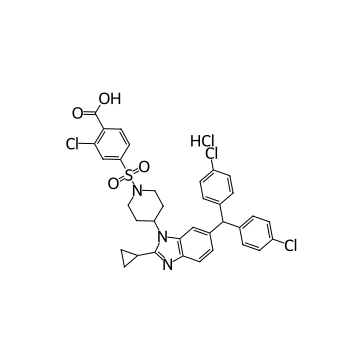 Cl.O=C(O)c1ccc(S(=O)(=O)N2CCC(n3c(C4CC4)nc4ccc(C(c5ccc(Cl)cc5)c5ccc(Cl)cc5)cc43)CC2)cc1Cl